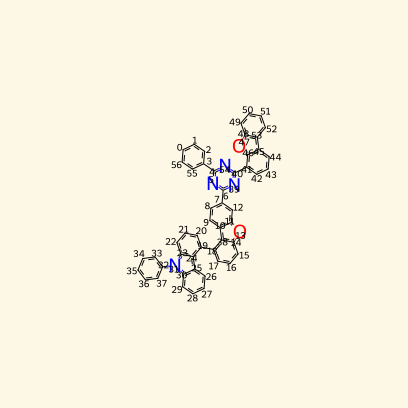 c1ccc(-c2nc(-c3ccc4c(c3)oc3cccc(-c5cccc6c5c5ccccc5n6-c5ccccc5)c34)nc(-c3cccc4c3oc3ccccc34)n2)cc1